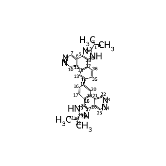 CC(C)c1nc2c3cnncc3c3cc(-c4ccc5c(c4)c4cnncc4c4nc(C(C)C)[nH]c54)ccc3c2[nH]1